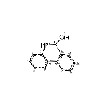 OC1Pc2ccccc2-c2ccccc21